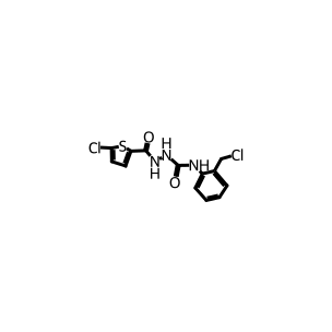 O=C(NNC(=O)c1ccc(Cl)s1)Nc1ccccc1CCl